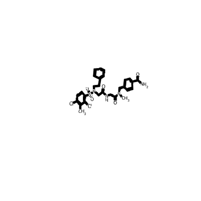 Cc1c(Cl)ccc(S(=O)(=O)N(CCc2ccccc2)CC(=O)NCC(=O)N(C)Cc2ccc(C(N)=O)cc2)c1Cl